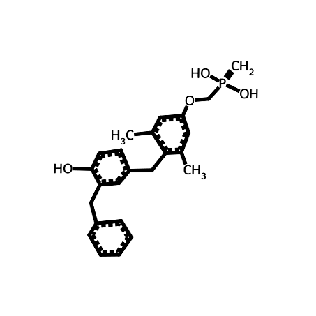 C=P(O)(O)COc1cc(C)c(Cc2ccc(O)c(Cc3ccccc3)c2)c(C)c1